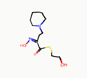 O=C(SCCO)C(CN1CCCCC1)=NO